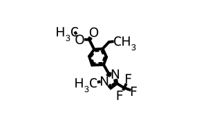 CCc1cc(-c2nc(C(F)(F)F)cn2C)ccc1C(=O)OC